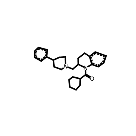 O=C(C1CCCCC1)N1c2ccccc2CCC1CN1CCC(c2ccccc2)CC1